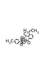 C=C1C(=O)N(OS(=O)(=O)c2ccc(C)cc2)C(=O)c2cccc(/C=C\C)c21